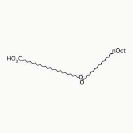 CCCCCCCCC=CCCCCCCCCCCCCCC(=O)OCCCCCCCCCCCCCCCCCCCCCCCC(=O)O